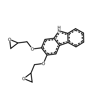 c1ccc2c(c1)[nH]c1cc(OCC3CO3)c(OCC3CO3)cc12